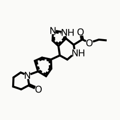 CCOC(=O)C1NCC(c2ccc(N3CCCCC3=O)cc2)c2cn[nH]c21